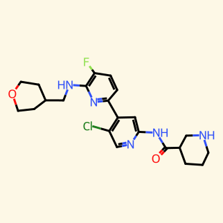 O=C(Nc1cc(-c2ccc(F)c(NCC3CCOCC3)n2)c(Cl)cn1)C1CCCNC1